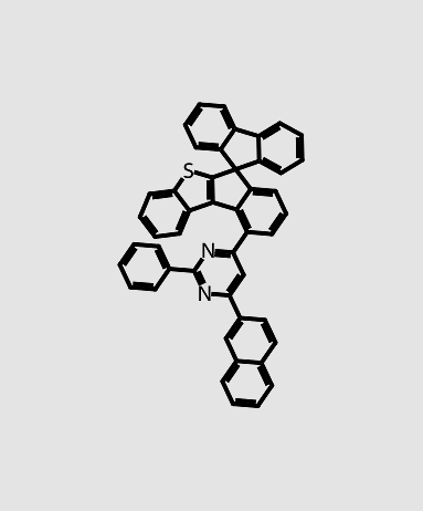 c1ccc(-c2nc(-c3ccc4ccccc4c3)cc(-c3cccc4c3-c3c(sc5ccccc35)C43c4ccccc4-c4ccccc43)n2)cc1